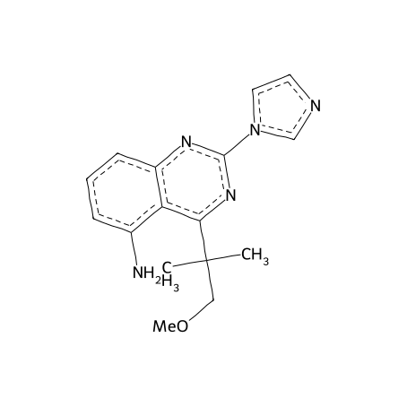 COCC(C)(C)c1nc(-n2ccnc2)nc2cccc(N)c12